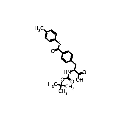 Cc1ccc(SC(=O)c2ccc(CC(NC(=O)OC(C)(C)C)C(=O)O)cc2)cc1